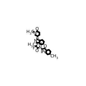 Cc1ccc([C@@H](Oc2ccc3c(cnn3-c3ccc(=O)n(C)c3)c2)[C@@H](NC(=O)C(C)(F)F)C(C)C)cc1